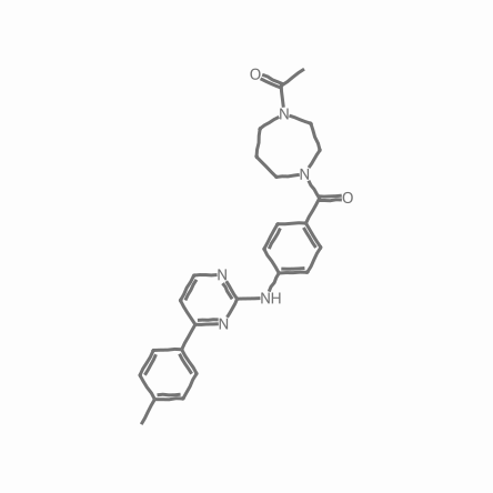 CC(=O)N1CCCN(C(=O)c2ccc(Nc3nccc(-c4ccc(C)cc4)n3)cc2)CC1